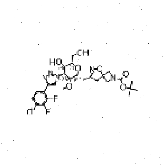 CO[C@@H]1[C@@H](n2cc(-c3ccc(Cl)c(F)c3F)nn2)[C@@H](O)[C@@H](CO)O[C@@H]1CC1=NOC2(C1)CN(C(=O)OC(C)(C)C)C2